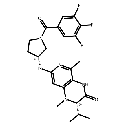 Cc1nc(N[C@@H]2CCN(C(=O)c3cc(F)c(F)c(F)c3)C2)cc2c1NC(=O)[C@H](C(C)C)N2C